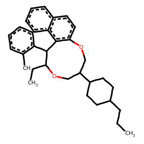 CCCC1CCC(C2COc3ccc4ccccc4c3C(c3ccccc3C)C(CC)OC2)CC1